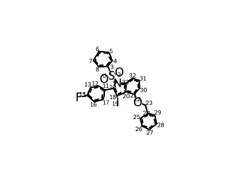 O=S(=O)(c1ccccc1)n1c(-c2ccc(F)cc2)c(I)c2c(OCc3ccccc3)cccc21